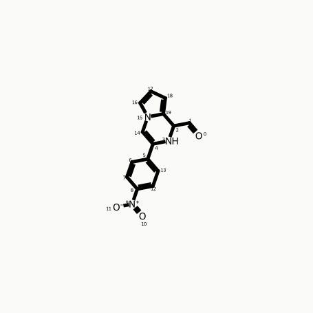 O=CC1NC(c2ccc([N+](=O)[O-])cc2)=Cn2cccc21